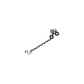 CCCCCCCCCCCCCCCc1ccc(C(=O)c2ccccc2O)cc1